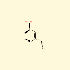 CC(=O)/C=C/c1cccc(C(O)O)c1